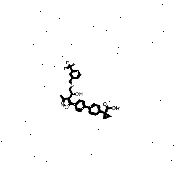 Cc1noc(-c2ccc(-c3ccc(C4(C(=O)O)CC4)cc3)cc2)c1C(O)CSCc1cccc(C(F)(F)F)c1